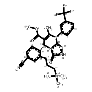 COC(=O)C1=C(C)N(c2cccc(C(F)(F)F)c2)c2n[nH]c(=O)n2[C@@H]1c1ccc(C#N)cc1CCC[N+](C)(C)C